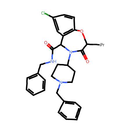 CC(C)C1Oc2ccc(Cl)cc2C(C(=O)NCc2ccccc2)N(C2CCN(Cc3ccccc3)CC2)C1=O